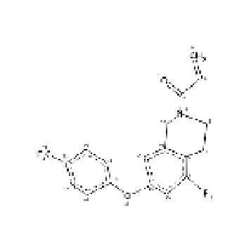 C=CC(=O)N1CCc2c(F)cc(Oc3ccc(C(F)(F)F)nc3)cc2C1